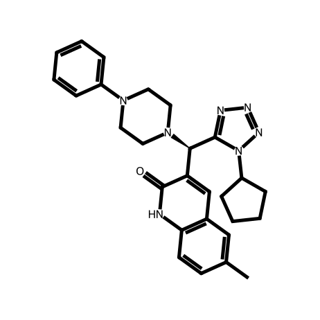 Cc1ccc2[nH]c(=O)c([C@H](c3nnnn3C3CCCC3)N3CCN(c4ccccc4)CC3)cc2c1